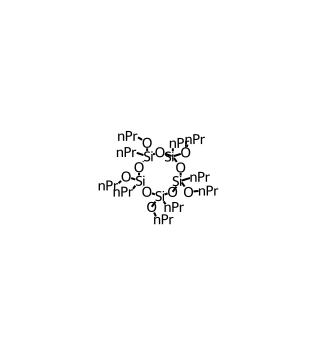 CCCO[Si]1(CCC)O[Si](CCC)(OCCC)O[Si](CCC)(OCCC)O[Si](CCC)(OCCC)O[Si](CCC)(OCCC)O1